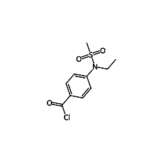 CCN(c1ccc(C(=O)Cl)cc1)S(C)(=O)=O